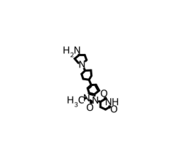 Cn1c(=O)n(C2CCC(=O)NC2=O)c2ccc(C3CCC(N4CCC(N)CC4)CC3)cc21